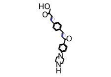 O=C(/C=C/c1ccc(/C=C/C(=O)c2ccc(N3CCNCC3)cc2)cc1)CO